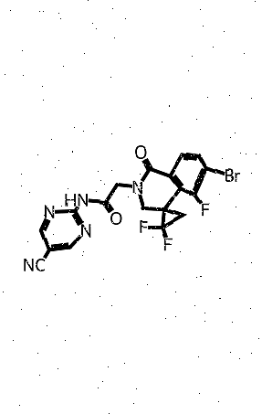 N#Cc1cnc(NC(=O)CN2CC3(CC3(F)F)c3c(ccc(Br)c3F)C2=O)nc1